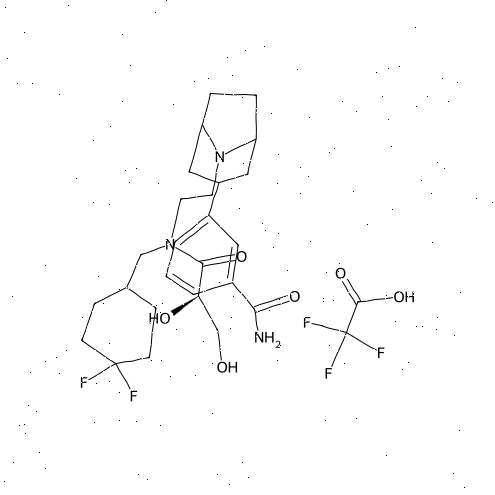 NC(=O)c1cccc(C2CC3CCC(C2)N3CCN(CC2CCC(F)(F)CC2)C(=O)[C@H](O)CO)c1.O=C(O)C(F)(F)F